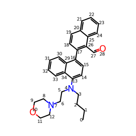 CCCCN(CCN1CCOCC1)c1ccc(-c2ccc3ccccc3c2C=O)c2ccccc12